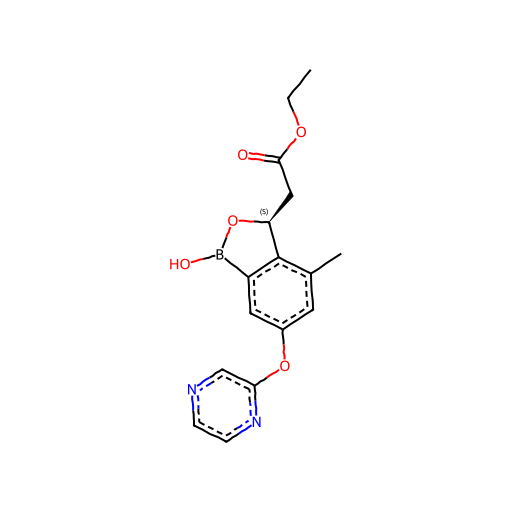 CCOC(=O)C[C@@H]1OB(O)c2cc(Oc3cnccn3)cc(C)c21